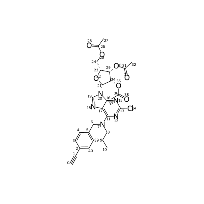 C#Cc1ccc(CN(CCC)c2nc(Cl)nc3c2ncn3[C@@H]2O[C@H](COC(C)=O)[C@H](OC(C)=O)[C@@H]2OC(C)=O)cc1